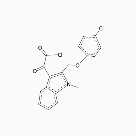 Cn1c(COc2ccc(Cl)cc2)c(C(=O)C(=O)Cl)c2ccccc21